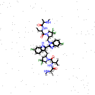 CCC(NC(=O)C(C)NC)C(=O)N1CC(F)(F)CC1Cn1c(-c2[nH]c3cc(F)ccc3c2CC2CC(F)(F)CN2C(=O)C(NC(=O)[C@@H](C)NC)C(C)C)nc2cc(F)ccc21